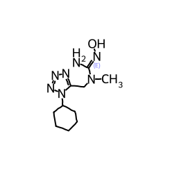 CN(Cc1nnnn1C1CCCCC1)/C(N)=N/O